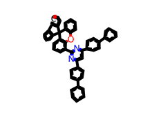 c1ccc(-c2ccc(-c3cc(-c4ccc(-c5ccccc5)cc4)nc(-c4cccc5c4Oc4ccccc4C54c5ccccc5-c5ccccc54)n3)cc2)cc1